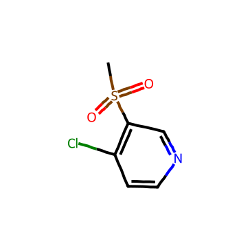 CS(=O)(=O)c1cnccc1Cl